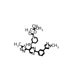 Cc1nnc(-c2cnc(-c3cccc(-c4cnn(C)c4)c3)nc2NC2CCCN(C(=O)OC(C)(C)C)C2)s1